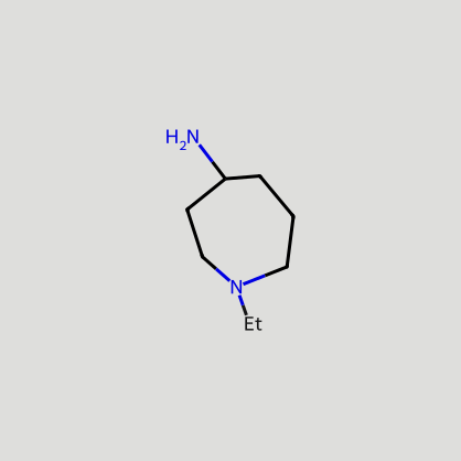 CCN1CCCC(N)CC1